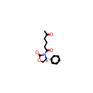 CC(=O)CCCC(=O)N1C(=O)OC[C@H]1c1ccccc1